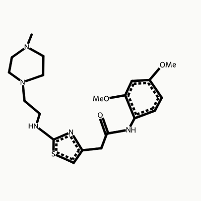 COc1ccc(NC(=O)Cc2csc(NCCN3CCN(C)CC3)n2)c(OC)c1